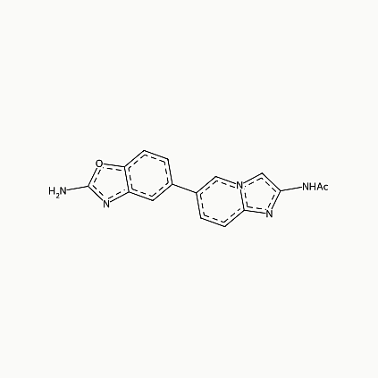 CC(=O)Nc1cn2cc(-c3ccc4oc(N)nc4c3)ccc2n1